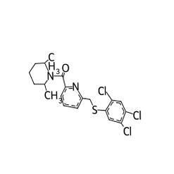 CC1CCCC(C)N1C(=O)c1cccc(CSc2cc(Cl)c(Cl)cc2Cl)n1